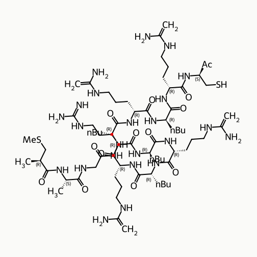 C=C(N)NCCC[C@@H](NC(=O)[C@@H](CCCC)NC(=O)[C@@H](CCCNC(=C)N)NC(=O)[C@@H](CCCC)NC(=O)[C@@H](CCCNC(=C)N)NC(=O)[C@@H](CCCC)NC(=O)[C@@H](CCCNC(=C)N)NC(=O)[C@@H](CCCC)NC(=O)[C@@H](CCCNC(=N)N)NC(=O)CNC(=O)[C@H](C)NC(=O)[C@@H](C)CSC)C(=O)N[C@H](CS)C(C)=O